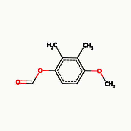 COc1ccc(OC=O)c(C)c1C